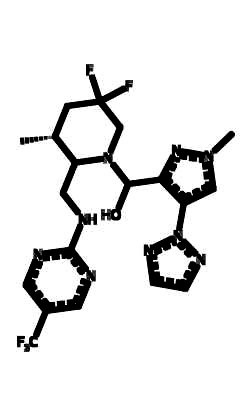 C[C@@H]1CC(F)(F)CN(C(O)c2nn(C)cc2-n2nccn2)C1CNc1ncc(C(F)(F)F)cn1